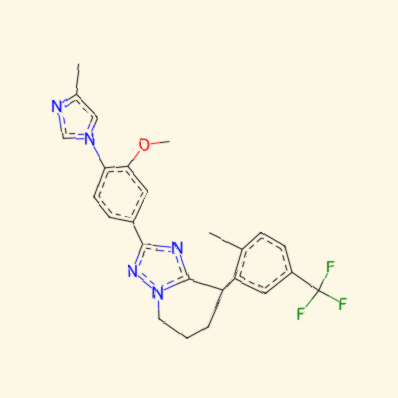 COc1cc(-c2nc3n(n2)CCCC3c2cc(C(F)(F)F)ccc2C)ccc1-n1cnc(C)c1